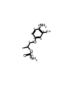 CC(COc1ccc(N)c(F)c1)OC(N)=O